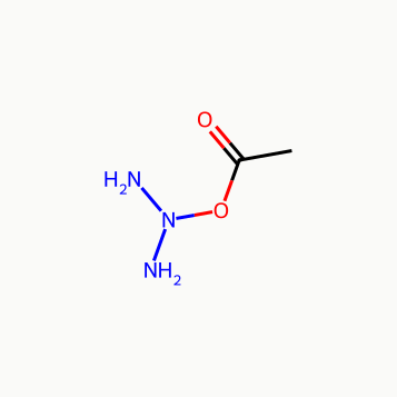 CC(=O)ON(N)N